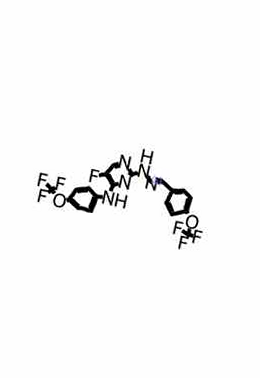 Fc1cnc(N/N=C/c2ccc(OC(F)(F)F)cc2)nc1Nc1ccc(OC(F)(F)F)cc1